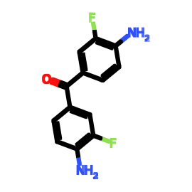 Nc1ccc(C(=O)c2ccc(N)c(F)c2)cc1F